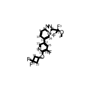 COC(F)(F)c1nnc2ccc(-c3cnc(OC4CC(F)(F)C4)c(F)c3)cn12